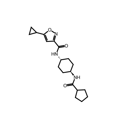 O=C(N[C@H]1CC[C@H](NC(=O)C2CCCC2)CC1)c1cc(C2CC2)on1